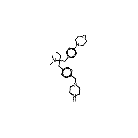 CCC(Cc1ccc(CN2CCNCC2)cc1)(Cc1ccc(N2CCOCC2)cc1)N(C)C